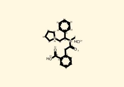 CN(C(=O)Cc1ccccc1C(=O)O)C(CN1CCCC1)c1ccccc1.Cl